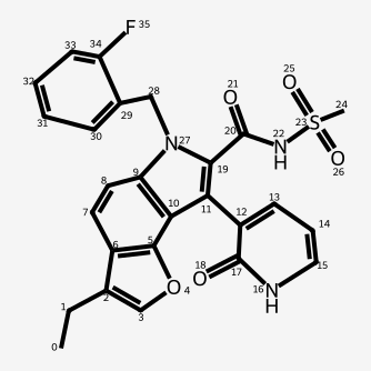 CCc1coc2c1ccc1c2c(-c2ccc[nH]c2=O)c(C(=O)NS(C)(=O)=O)n1Cc1ccccc1F